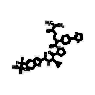 CN(C)C(=O)CCN(C(=O)[C@@H]1CCCN1C(=O)C(NC(=O)c1cc2cc(C(F)(F)P(=O)(O)O)ccc2s1)C1CC1)c1ccc(-c2nccs2)cc1